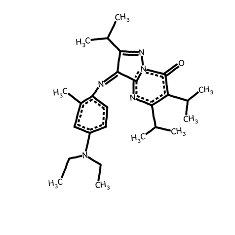 CCN(CC)c1ccc(N=C2C(C(C)C)=Nn3c2nc(C(C)C)c(C(C)C)c3=O)c(C)c1